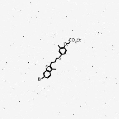 CCOC(=O)COc1ccc(SCCCc2sc3cc(Br)ccc3c2C)cc1C